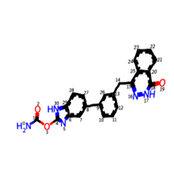 NC(=O)Oc1nc2cc(-c3cccc(Cc4n[nH]c(=O)c5ccccc45)c3)ccc2[nH]1